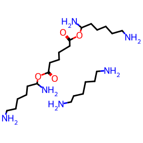 NCCCCCC(N)OC(=O)CCCCC(=O)OC(N)CCCCCN.NCCCCCCN